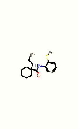 CC(=O)Sc1ccccc1NC(=O)C1(CCC(C)C)CCCCC1